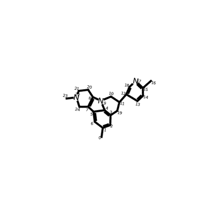 Cc1cc2c3c(c1)c1c(n3CC(c3ccc(C)nc3)C2)CCN(C)C1